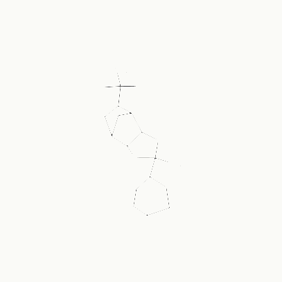 CC1(C2CCCCC2)OC2C3CC(C2O1)C(C(F)(F)S(=O)(=O)O)C3